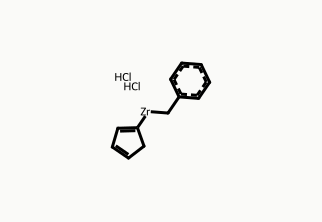 C1=CC[C]([Zr][CH2]c2ccccc2)=C1.Cl.Cl